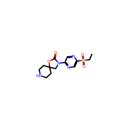 CCS(=O)(=O)c1cnc(N2CC3(CCNCC3)OC2=O)cn1